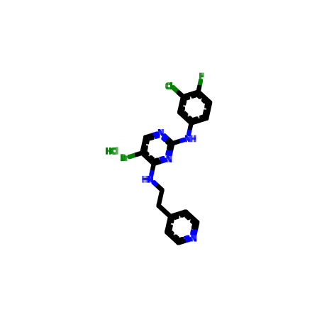 Cl.Fc1ccc(Nc2ncc(Br)c(NCCc3ccncc3)n2)cc1Cl